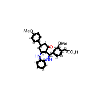 COc1ccc(C2CC(=O)C3=C(C2)Nc2ccccc2NC3c2ccc(CC(=O)O)c(OC)c2)cc1